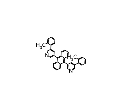 Cc1ccccc1-c1cncc(-c2c3ccccc3c(-c3cncc(-c4ccccc4C)c3)c3ccccc23)c1